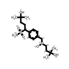 CC(C)(O)CCC(c1ccc(C[S+]([O-])CCC(C)(C)O)cc1)S(N)(=O)=O